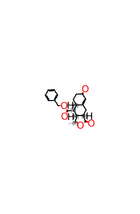 C[C@H]1OC(=O)[C@@H]2CC3=CC(=O)CC[C@H]3[C@H](C(=O)OCc3ccccc3)[C@H]12